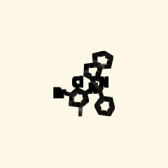 Cc1cc(Br)c(Cl)c(-n2c(-c3ccccc3)nc3c4ccccc4ccc32)c1